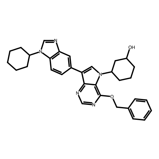 OC1CCCC(n2cc(-c3ccc4c(c3)ncn4C3CCCCC3)c3ncnc(OCc4ccccc4)c32)C1